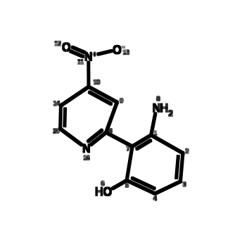 Nc1cccc(O)c1-c1cc([N+](=O)[O-])ccn1